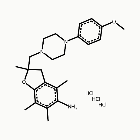 COc1ccc(N2CCN(CC3(C)Cc4c(C)c(N)c(C)c(C)c4O3)CC2)cc1.Cl.Cl.Cl